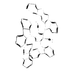 N#Cc1c(-n2c3ccccc3c3cc4sc5ccccc5c4cc32)c(C#N)c(-n2c3ccccc3c3ccccc32)c(-c2ccc3sc4ccccc4c3c2)c1-n1c2ccccc2c2ccccc21